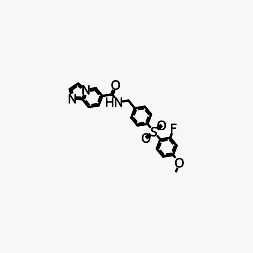 COc1ccc(S(=O)(=O)c2ccc(CNC(=O)c3ccc4nccn4c3)cc2)c(F)c1